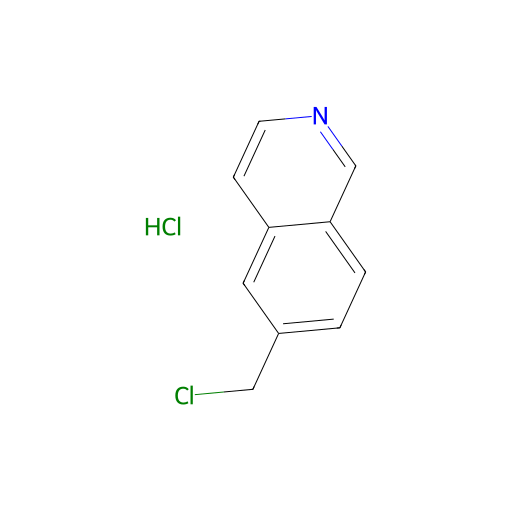 Cl.ClCc1ccc2cnccc2c1